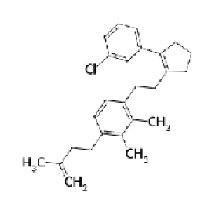 C=C(C)CCc1ccc(CCC2=C(c3cccc(Cl)c3)CCC2)c(C)c1C